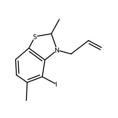 C=CCN1c2c(ccc(C)c2I)SC1C